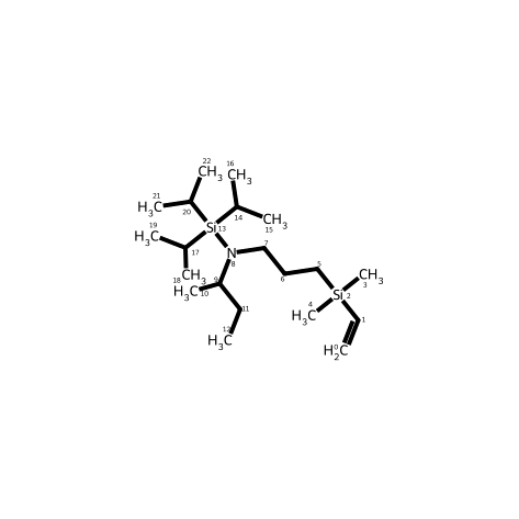 C=C[Si](C)(C)CCCN(C(C)CC)[Si](C(C)C)(C(C)C)C(C)C